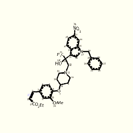 CCOC(=O)/C=C\c1ccc(OC2CCN(CC(O)(c3cn(Cc4ccccc4)c4cc([N+](=O)[O-])ccc34)C(F)(F)F)CC2)c(OC)c1